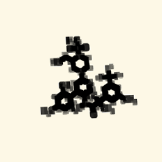 Cc1cc(C(F)(F)F)cc(C(C)(C)C(=O)N(C)c2cnc(N3CCN(S(C)(=O)=O)C(CO)C3)cc2-c2ccc(C)cc2C)c1